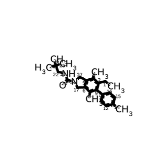 CCc1c(C)c2c(c(C)c1-c1ccc(C)cc1)CN(C(=O)NCC(C)(C)C)C2